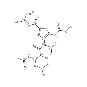 COC(=O)Oc1sc(-c2cccc(F)c2)cc1N(C(=O)C1CCC(C)CC1OC(C)=O)C(C)C